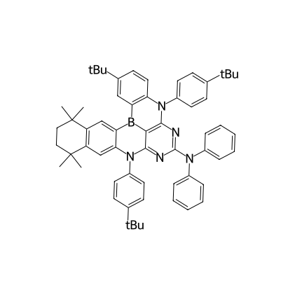 CC(C)(C)c1ccc(N2c3ccc(C(C)(C)C)cc3B3c4cc5c(cc4N(c4ccc(C(C)(C)C)cc4)c4nc(N(c6ccccc6)c6ccccc6)nc2c43)C(C)(C)CCC5(C)C)cc1